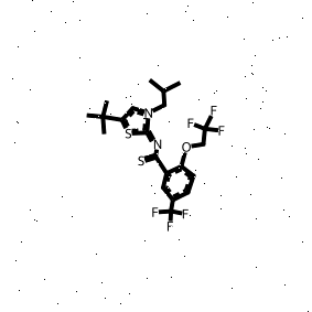 CC(C)Cn1cc(C(C)(C)C)sc1=NC(=S)c1cc(C(F)(F)F)ccc1OCC(F)(F)F